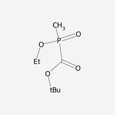 CCOP(C)(=O)C(=O)OC(C)(C)C